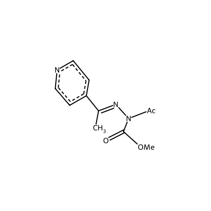 COC(=O)N(N=C(C)c1ccncc1)C(C)=O